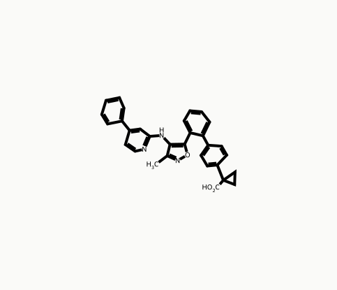 Cc1noc(-c2ccccc2-c2ccc(C3(C(=O)O)CC3)cc2)c1Nc1cc(-c2ccccc2)ccn1